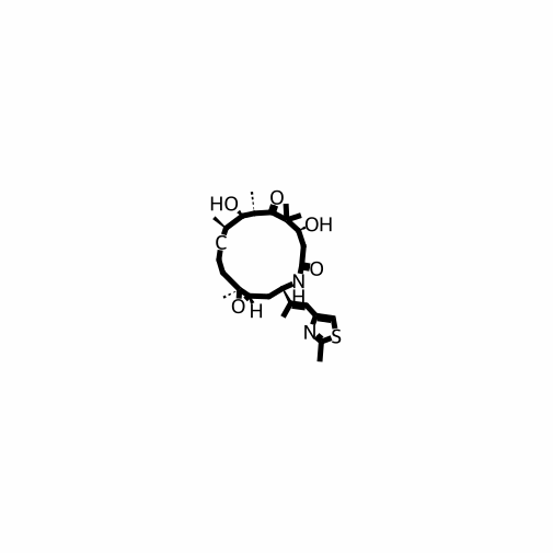 CC(=Cc1csc(C)n1)[C@H]1C[C@@H]2O[C@@]2(C)CCC[C@@H](C)[C@@H](O)[C@H](C)C(=O)C(C)(C)[C@H](O)CC(=O)N1